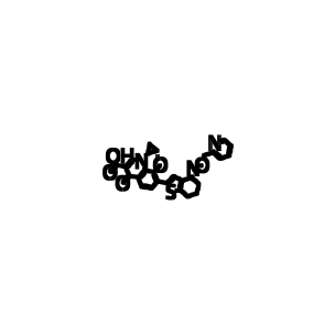 COc1c(-c2cc3c(s2)CCC/C3=N\OCc2ccccn2)ccc2c(=O)c(C(=O)O)cn(C3CC3)c12